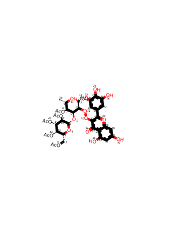 CC(=O)OC[C@H]1O[C@@H](O[C@@H]([C@H](OC(C)=O)[C@H](C)O)[C@@H](COC(C)=O)OOc2c(-c3cc(O)c(O)c(O)c3)oc3cc(O)cc(O)c3c2=O)[C@H](OC(C)=O)[C@@H](OC(C)=O)[C@H]1OC(C)=O